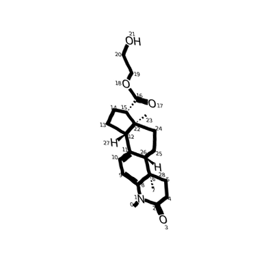 CN1C(=O)CC[C@@]2(C)C1=CC=C1[C@@H]3CC[C@H](C(=O)OCCO)[C@@]3(C)CC[C@@H]12